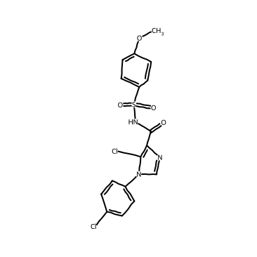 COc1ccc(S(=O)(=O)NC(=O)c2ncn(-c3ccc(Cl)cc3)c2Cl)cc1